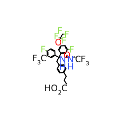 O=C(O)CCCc1ccc(CC(NC(=O)NCC(F)(F)F)(c2cc(F)cc(OC(F)(F)C(F)F)c2)c2ccc(F)c(C(F)(F)F)c2)cc1